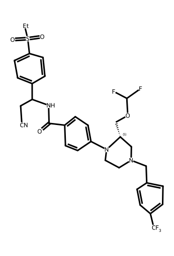 CCS(=O)(=O)c1ccc(C(CC#N)NC(=O)c2ccc(N3CCN(Cc4ccc(C(F)(F)F)cc4)C[C@H]3COC(F)F)cc2)cc1